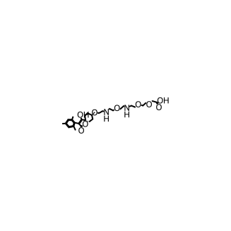 Cc1cc(C)c(C2=C(O)[C@]3(CC[C@H](OCCNCCOCCNCCOCCOCC(=O)O)CC3)OC2=O)c(C)c1